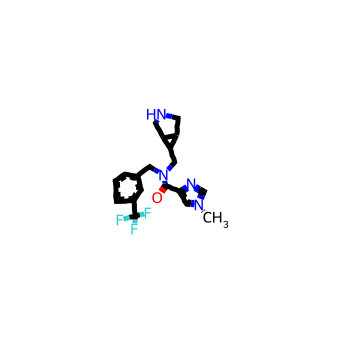 Cn1cnc(C(=O)N(Cc2cccc(C(F)(F)F)c2)CC2C3CNCC32)c1